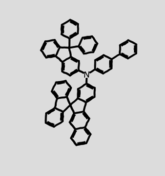 c1ccc(-c2ccc(N(c3ccc4c(c3)C(c3ccccc3)(c3ccccc3)c3ccccc3-4)c3ccc4c(c3)C3(c5ccccc5-c5ccccc53)c3cc5ccccc5cc3-4)cc2)cc1